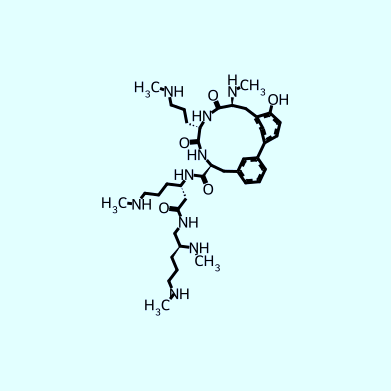 CNCCC[C@@H](CNC(=O)C[C@H](CCCNC)NC(=O)[C@@H]1Cc2cccc(c2)-c2ccc(O)c(c2)C[C@H](NC)C(=O)N[C@@H](CCCNC)C(=O)N1)NC